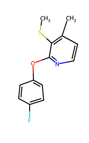 CSc1c(C)ccnc1Oc1ccc(F)cc1